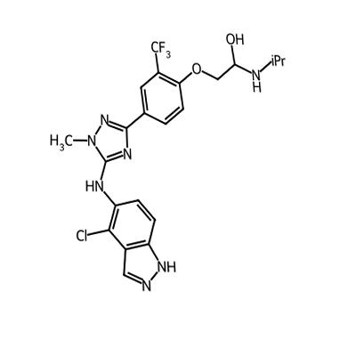 CC(C)NC(O)COc1ccc(-c2nc(Nc3ccc4[nH]ncc4c3Cl)n(C)n2)cc1C(F)(F)F